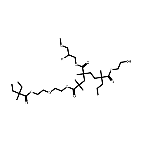 CCCC(C)(CCC(C)(CC(C)(C)C(=O)OCCOCCOC(=O)C(C)(CC)CC)C(=O)OCC(O)COC)C(=O)OCCO